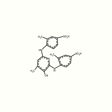 Cc1cc(S(=O)(=O)O)ccc1Nc1cc(C)c(C#N)c(Nc2ccc(S(=O)(=O)O)cc2C)n1